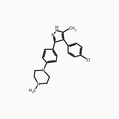 Cc1[nH]nc(-c2ccc(N3CCN(C)CC3)cc2)c1-c1ccc(Cl)cc1